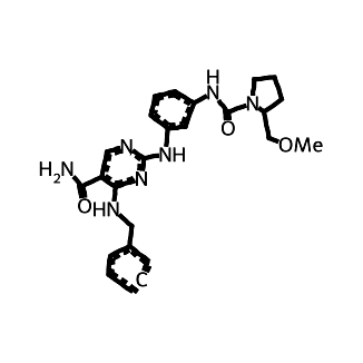 COCC1CCCN1C(=O)Nc1cccc(Nc2ncc(C(N)=O)c(NCc3ccccc3)n2)c1